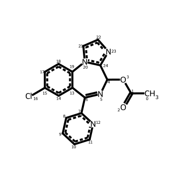 CC(=O)OC1N=C(c2ccccn2)c2cc(Cl)ccc2-n2ccnc21